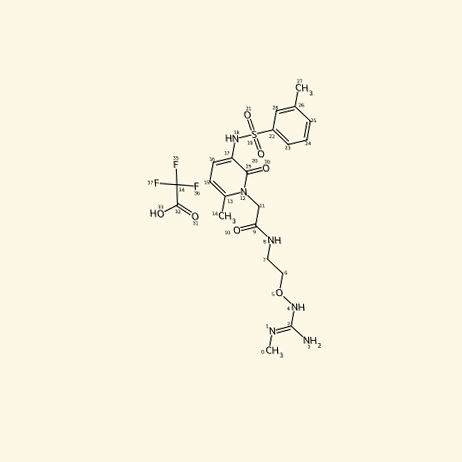 CN=C(N)NOCCNC(=O)Cn1c(C)ccc(NS(=O)(=O)c2cccc(C)c2)c1=O.O=C(O)C(F)(F)F